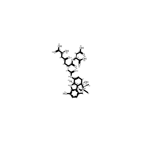 Cc1ccc(O)c2c1[C@]13CCN(C)[C@H](C)[C@]1(O)CC=C(OC(=O)C[C@H](CC(=O)C[C@H](O)C(=O)O)C(=O)O[C@@H](CC(=O)O)C(=O)O)[C@@H]3O2